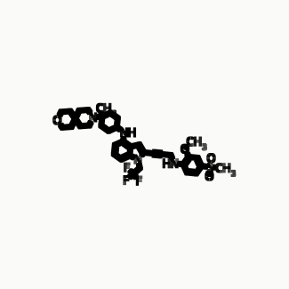 COc1cc(S(C)(=O)=O)ccc1NCC#Cc1cc2c(NC3CCC(C)(N4CCC5(CCOCC5)CC4)CC3)cccc2n1CC(F)(F)F